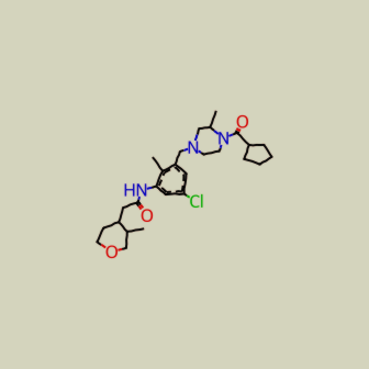 Cc1c(CN2CCN(C(=O)C3CCCC3)C(C)C2)cc(Cl)cc1NC(=O)CC1CCOCC1C